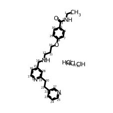 CCNC(=O)c1ccc(OCCCNCc2ccnc(CCc3cccnc3)c2)cc1.Cl.Cl.Cl